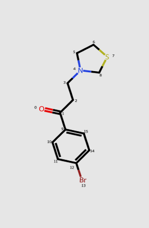 O=C(CCN1CCSC1)c1ccc(Br)cc1